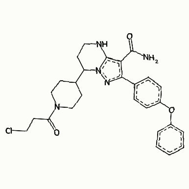 NC(=O)c1c(-c2ccc(Oc3ccccc3)cc2)nn2c1NCCC2C1CCN(C(=O)CCCl)CC1